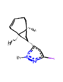 CC(C)n1nc(I)cc1[C@@H]1[C@H]2C=CC[C@H]21